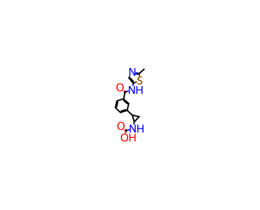 Cc1ncc(NC(=O)c2cccc(C3CC3NC(=O)O)c2)s1